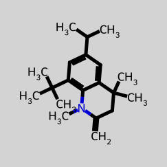 C=C1CC(C)(C)c2cc(C(C)C)cc(C(C)(C)C)c2N1C